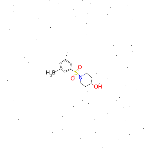 Bc1cccc(S(=O)(=O)N2CCC(O)CC2)c1